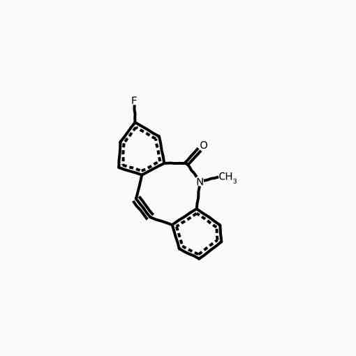 CN1C(=O)c2cc(F)ccc2C#Cc2ccccc21